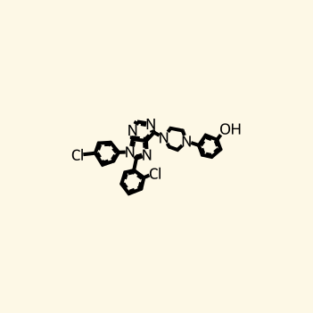 Oc1cccc(N2CCN(c3ncnc4c3nc(-c3ccccc3Cl)n4-c3ccc(Cl)cc3)CC2)c1